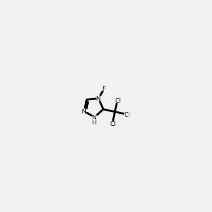 FN1C=NNC1C(Cl)(Cl)Cl